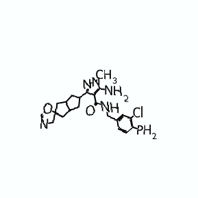 Cn1nc(C2CC3CC4(CN=CO4)CC3C2)c(C(=O)NCc2ccc(P)c(Cl)c2)c1N